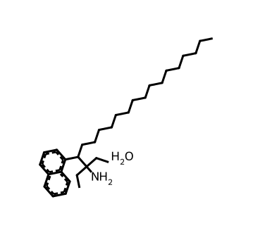 CCCCCCCCCCCCCCCCC(c1cccc2ccccc12)C(N)(CC)CC.O